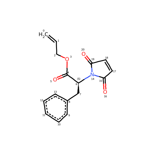 C=CCOC(=O)[C@H](Cc1ccccc1)N1C(=O)C=CC1=O